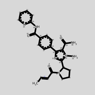 C/C=C/C(=O)N1CCCC1c1nc(-c2ccc(C(=O)Nc3ccccn3)cc2)c(C(N)=O)n1N